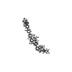 C=CC(=O)Nc1cc(Nc2nc(-c3ccnc(N4CCn5c(cc6c5CC(C)(C)C6)C4=O)c3CO)cn(C)c2=O)ccc1N1CCN(C2CCN(c3ccc(S(=O)(=O)C(C)(C)C(F)(F)F)c(C)c3)[C@@H](C)C2)C[C@@H]1C